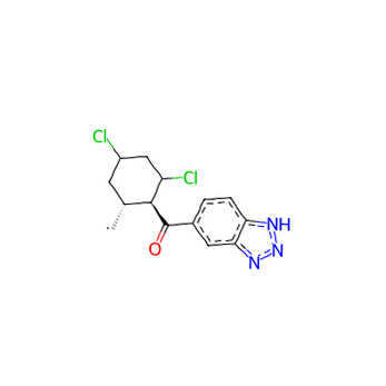 [CH2][C@@H]1CC(Cl)CC(Cl)[C@H]1C(=O)c1ccc2[nH]nnc2c1